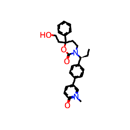 CC[C@@H](c1ccc(-c2ccc(=O)n(C)c2)cc1)N1CCC(CCO)(c2ccccc2)OC1=O